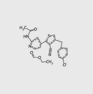 CC(=O)Nc1cc(-c2scc(Cc3ccc(Cl)cc3)c2C#N)ccn1.CCOC=O